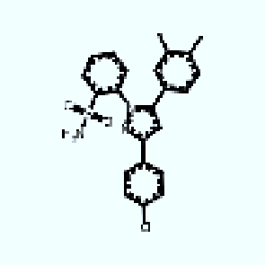 Cc1ccc(-c2cc(-c3ccc(Cl)cc3)nn2-c2ccccc2S(N)(=O)=O)cc1C